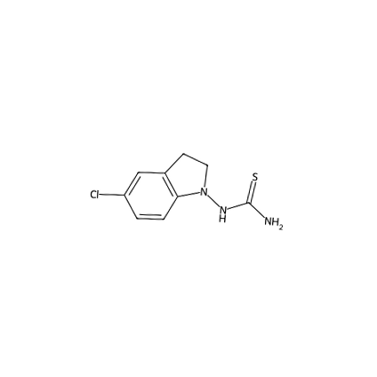 NC(=S)NN1CCc2cc(Cl)ccc21